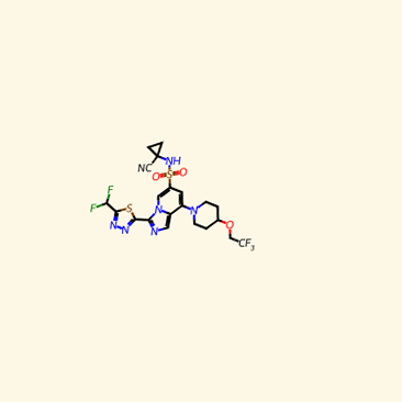 N#CC1(NS(=O)(=O)c2cc(N3CCC(OCC(F)(F)F)CC3)c3cnc(-c4nnc(C(F)F)s4)n3c2)CC1